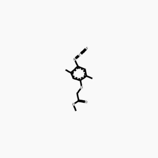 COC(=O)COc1cc(C)c(N=C=S)cc1C